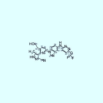 Cc1[nH]nc(C#N)c1-c1nc(-n2cnc3cc(Nc4ccc(OC(F)F)nn4)ccc32)ccc1CCO